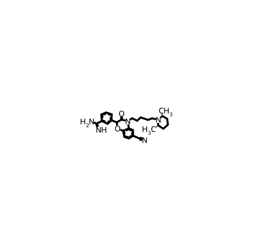 C[C@@H]1CCC[C@H](C)N1CCCCCN1C(=O)C(c2cccc(C(=N)N)c2)Oc2ccc(C#N)cc21